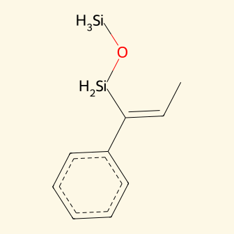 C/C=C(\[SiH2]O[SiH3])c1ccccc1